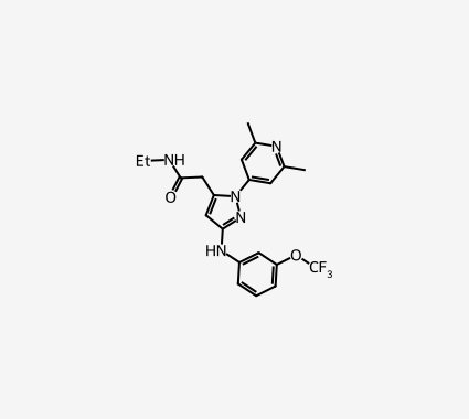 CCNC(=O)Cc1cc(Nc2cccc(OC(F)(F)F)c2)nn1-c1cc(C)nc(C)c1